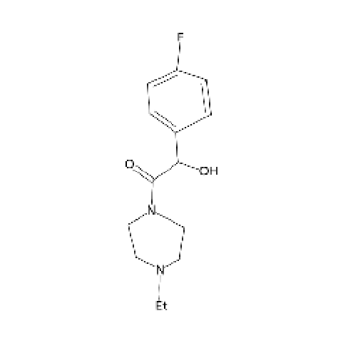 CCN1CCN(C(=O)C(O)c2ccc(F)cc2)CC1